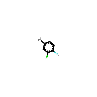 CC(C)c1ccc([18F])c(Cl)c1